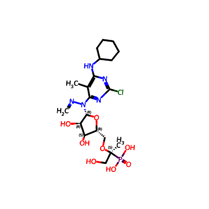 C=NN(c1nc(Cl)nc(NC2CCCCC2)c1C)[C@@H]1O[C@H](CO[C@](C)(CO)P(=O)(O)O)[C@@H](O)[C@H]1O